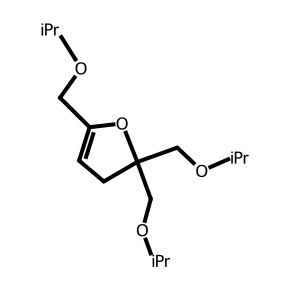 CC(C)OCC1=CCC(COC(C)C)(COC(C)C)O1